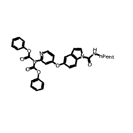 CCCCCNC(=O)n1ccc2cc(Oc3ccnc(N(C(=O)Oc4ccccc4)C(=O)Oc4ccccc4)c3)ccc21